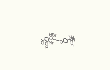 Br.CC(=O)c1ccc(OCCCCOc2ccc(-c3nnn[nH]3)cc2)c(Br)c1O